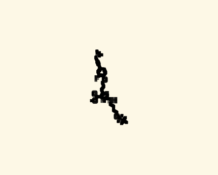 COC(=O)c1nc(NCCCCO[Si](C)(C)C(C)(C)C)sc1CCCOc1ccc(C#CCN(C)C)cc1F